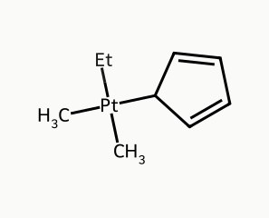 C[CH2][Pt]([CH3])([CH3])[CH]1C=CC=C1